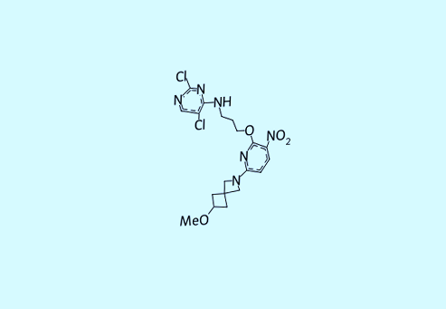 COC1CC2(C1)CN(c1ccc([N+](=O)[O-])c(OCCCNc3nc(Cl)ncc3Cl)n1)C2